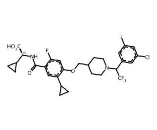 O=C(N[C@H](C(=O)O)C1CC1)c1cc(C2CC2)c(OCC2CCN(C(c3cc(Cl)cc(I)c3)C(F)(F)F)CC2)cc1F